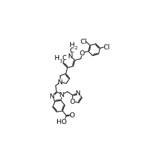 C=N/C(=C\C(=C/C)C1=CCN(Cc2nc3ccc(C(=O)O)cc3n2Cc2ncco2)C1)COc1ccc(Cl)cc1Cl